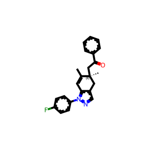 CC1=Cc2c(cnn2-c2ccc(F)cc2)C[C@]1(C)CC(=O)c1ccccc1